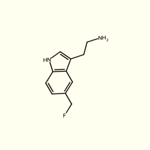 NCCc1c[nH]c2ccc(CF)cc12